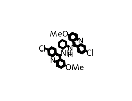 COc1ccc2nc3cc(Cl)ccc3c(NC3CCCCC3Nc3c4ccc(Cl)cc4nc4ccc(OC)cc34)c2c1